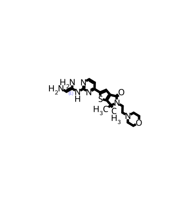 CC1(C)c2sc(-c3ccnc(N/C(N)=C/N)n3)cc2C(=O)N1CCN1CCOCC1